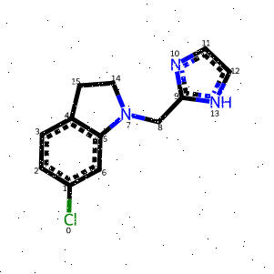 Clc1ccc2c(c1)N(Cc1ncc[nH]1)CC2